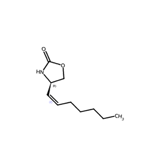 CCCCC/C=C\[C@@H]1COC(=O)N1